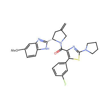 C=C1C[C@@H](c2nc3cc(OC)ccc3[nH]2)N(C(=O)c2nc(N3CCCC3)sc2-c2cccc(F)c2)C1